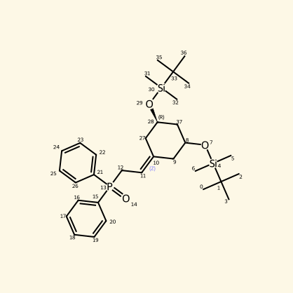 CC(C)(C)[Si](C)(C)OC1C/C(=C/CP(=O)(c2ccccc2)c2ccccc2)C[C@@H](O[Si](C)(C)C(C)(C)C)C1